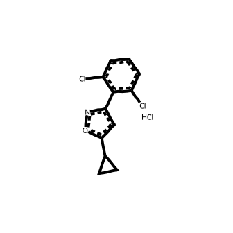 Cl.Clc1cccc(Cl)c1-c1cc(C2CC2)on1